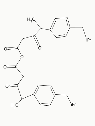 CC(C)Cc1ccc(C(C)C(=O)CC(=O)OC(=O)CC(=O)C(C)c2ccc(CC(C)C)cc2)cc1